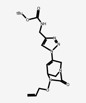 C=CCON1C(=O)N2CC(n3cc(CNC(=O)OC(C)(C)C)nn3)=CC1C2